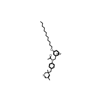 Br.CCCCCCCCCCCCOc1cccc(CN(C(C)=O)c2ccc(CC3(C)C=C(C)C=NC3)cc2)c1